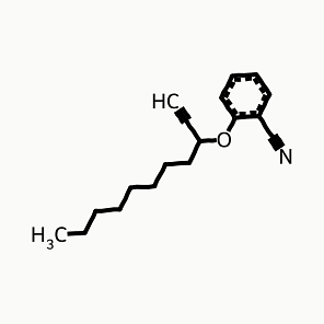 C#CC(CCCCCCCC)Oc1ccccc1C#N